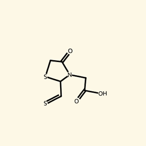 O=C(O)CN1C(=O)CSC1C=S